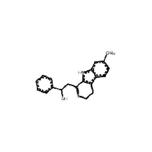 COc1ccc2c3c([nH]c2c1)C(CC(O)c1ccccc1)=NCC3